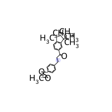 CC1C(C)(C)c2ccc(C(=O)/C=C/c3ccc(S(C)(=O)=O)cc3)cc2C1(C)C